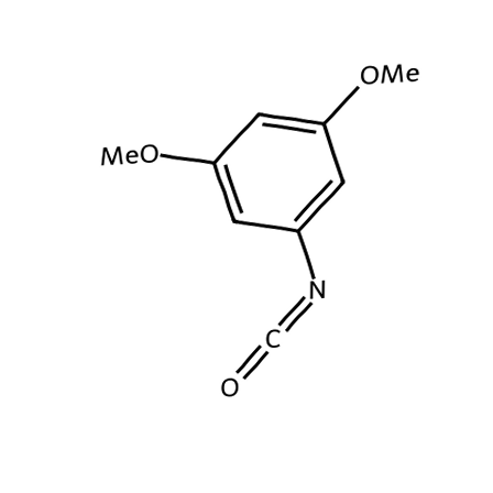 COc1cc(N=C=O)cc(OC)c1